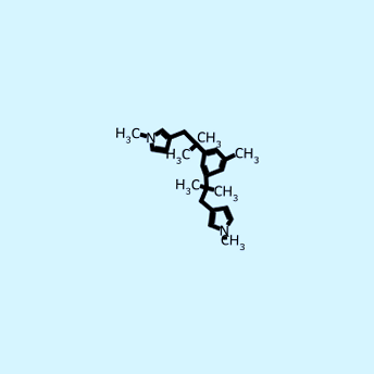 Cc1cc(C(C)(C)Cc2ccn(C)c2)cc(C(C)(C)Cc2ccn(C)c2)c1